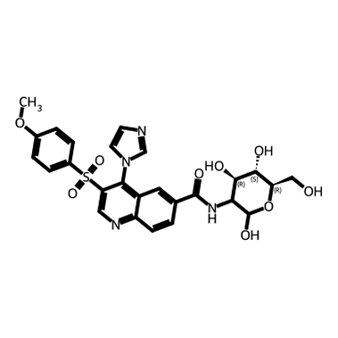 COc1ccc(S(=O)(=O)c2cnc3ccc(C(=O)NC4C(O)O[C@H](CO)[C@@H](O)[C@@H]4O)cc3c2-n2ccnc2)cc1